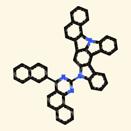 c1ccc2cc(-c3nc(-n4c5ccccc5c5c6c7ccccc7n7c8c9ccccc9ccc8c(cc54)c67)nc4c3ccc3ccccc34)ccc2c1